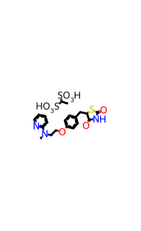 CC(S(=O)(=O)O)S(=O)(=O)O.CN(CCOc1ccc(CC2SC(=O)NC2=O)cc1)c1ccccn1